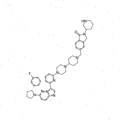 O=C1c2ccc(CN3CCC(N4CCN(c5cccc(-c6cnc7ccc(N8CCC[C@@H]8c8cccc(F)c8)nn67)n5)CC4)CC3)cc2CN1C1CCCNC1